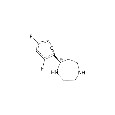 Fc1ccc([C@H]2CCNCCN2)c(F)c1